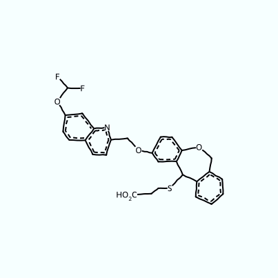 O=C(O)CCSC1c2ccccc2COc2ccc(OCc3ccc4ccc(OC(F)F)cc4n3)cc21